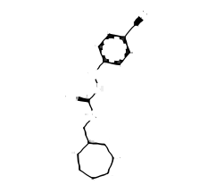 N#Cc1ccc(SNC(=O)NCC2CCCCCC2)cc1